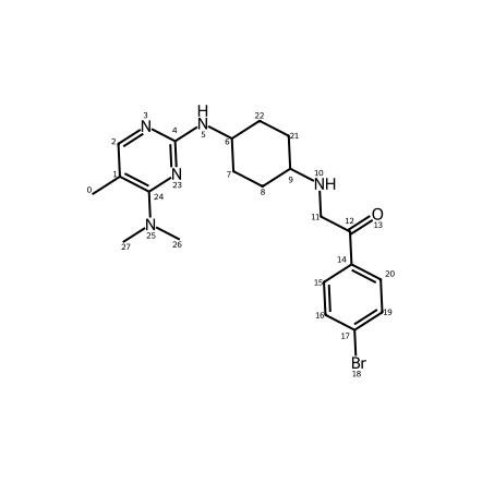 Cc1cnc(NC2CCC(NCC(=O)c3ccc(Br)cc3)CC2)nc1N(C)C